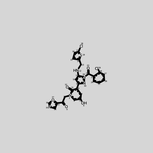 O=C(Cn1cc(O)cc(-c2cc(NCc3ccc(Cl)s3)n(C(=O)c3ccccc3Cl)n2)c1=O)c1cnco1